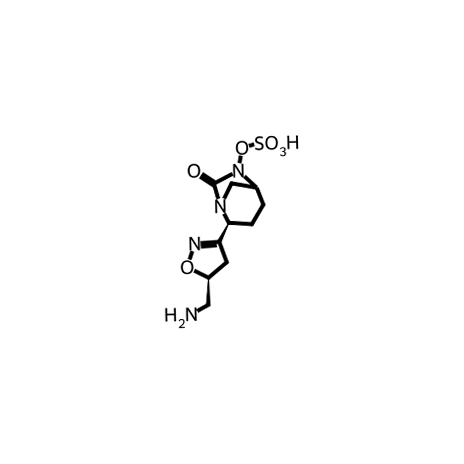 NC[C@@H]1CC([C@@H]2CCC3CN2C(=O)N3OS(=O)(=O)O)=NO1